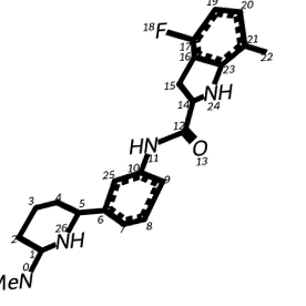 CNC1CCCC(c2cccc(NC(=O)C3Cc4c(F)ccc(C)c4N3)c2)N1